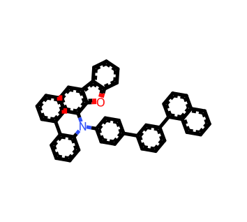 c1ccc(-c2ccccc2N(c2ccc(-c3cccc(-c4cccc5ccccc45)c3)cc2)c2cccc3c2oc2ccccc23)cc1